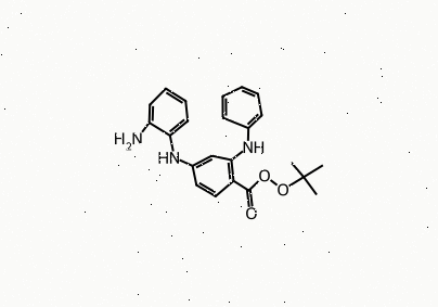 CC(C)(C)OOC(=O)c1ccc(Nc2ccccc2N)cc1Nc1ccccc1